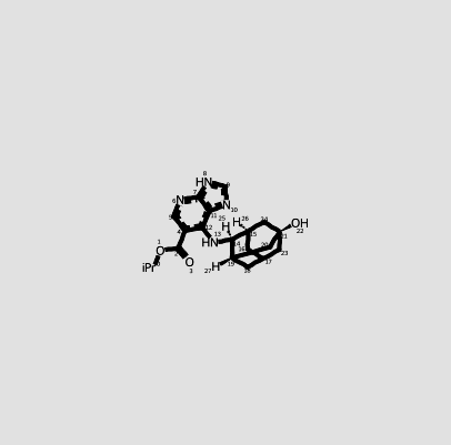 CC(C)OC(=O)c1cnc2[nH]cnc2c1N[C@H]1[C@@H]2CC3C[C@H]1C[C@@](O)(C3)C2